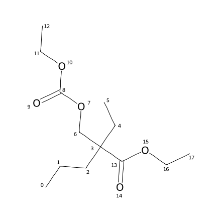 CCCC(CC)(COC(=O)OCC)C(=O)OCC